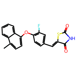 Cc1ccc(Oc2ccc(/C=C3\SC(=O)NC3=O)cc2F)c2ccccc12